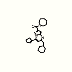 O=C(c1cc2nc(CC3CCCCC3)cc(C3=CCCC3)n2n1)N1CCCCCC1